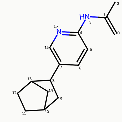 C=C(C)Nc1ccc(C2CC3CCC2C3)cn1